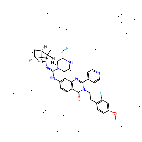 COc1ccc(CCn2c(-c3ccncc3)nc3cc(N/C(=N/[C@H]4C[C@H]5C[C@@H]([C@@H]4C)C5(C)C)N4CCN[C@@H](CF)C4)ccc3c2=O)c(F)c1